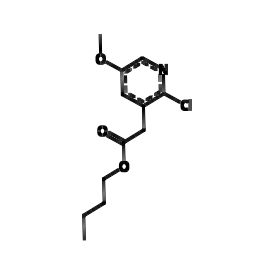 CCCCOC(=O)Cc1cc(OC)cnc1Cl